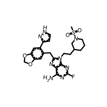 CS(=O)(=O)N1CCCC(CCn2c(Cc3cc4c(cc3-c3cc[nH]n3)OCO4)nc3c(N)nc(F)nc32)C1